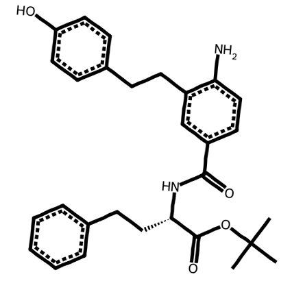 CC(C)(C)OC(=O)[C@H](CCc1ccccc1)NC(=O)c1ccc(N)c(CCc2ccc(O)cc2)c1